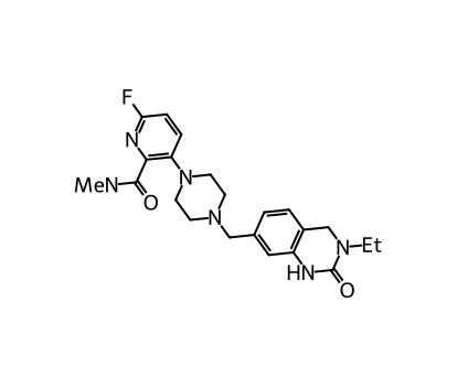 CCN1Cc2ccc(CN3CCN(c4ccc(F)nc4C(=O)NC)CC3)cc2NC1=O